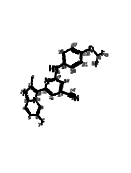 Cc1nc2ccc(F)cn2c1-c1cc(C#N)cc(Nc2ccc(OC(F)F)cc2)n1